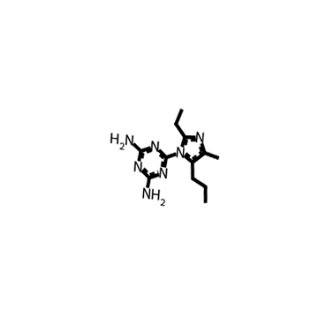 CCCc1c(C)nc(CC)n1-c1nc(N)nc(N)n1